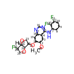 COc1cc2c(Nc3cccc(F)c3F)ncnc2cc1O[C@@H]1CO[C@@H]2C1OC[C@H]2F